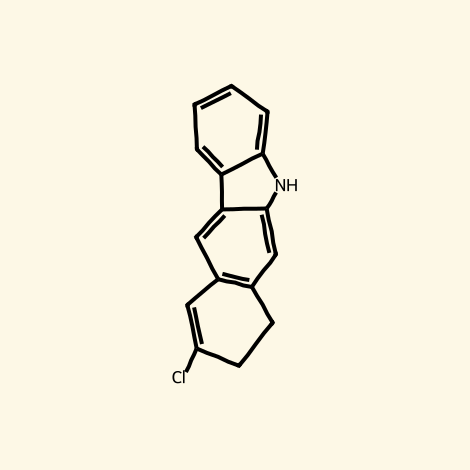 ClC1=Cc2cc3c(cc2CC1)[nH]c1ccccc13